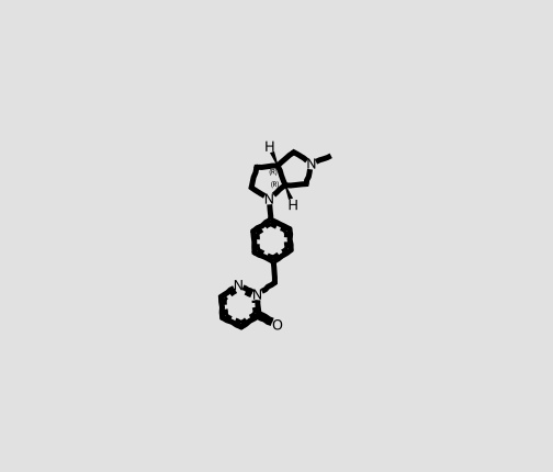 CN1C[C@H]2CCN(c3ccc(Cn4ncccc4=O)cc3)[C@H]2C1